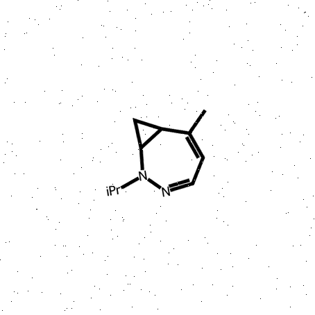 CC1=CC=NN(C(C)C)C2CC12